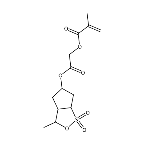 C=C(C)C(=O)OCC(=O)OC1CC2C(C)OS(=O)(=O)C2C1